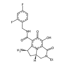 CCN1C[C@@H]2C[C@@H](N)c3c(C(=O)NCc4ccc(F)cc4F)c(=O)c(O)c(n32)C1=O